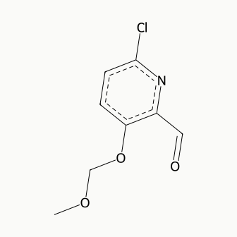 COCOc1ccc(Cl)nc1C=O